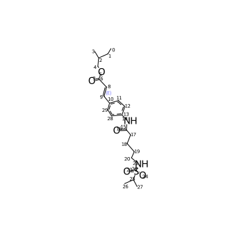 CCC(C)COC(=O)/C=C/c1ccc(NC(=O)CCCCNS(=O)(=O)C(C)C)cc1